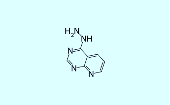 NNc1ncnc2ncccc12